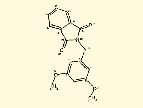 COc1cc(OC)cc(SN2C(=O)c3ccccc3C2=O)c1